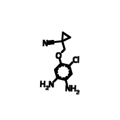 N#CC1(COc2cc(N)c(N)cc2Cl)CC1